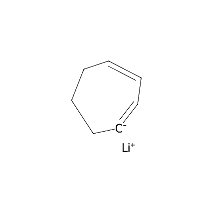 [C-]1=CC=CCCC1.[Li+]